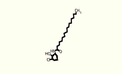 CCCCCCCCCCCCCCCCCC(=O)Nc1c[c]cc(Cl)c1O